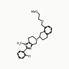 COCCOCc1cccc2c1CC(N1CCc3c(nc(-c4ccccc4Cl)n3C)C1)CC2